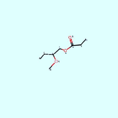 CCC(=O)OCC(CC)OC